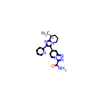 C[C@H]1CCCn2c1nc(-c1ccccn1)c2-c1ccn2c(C(N)=O)nnc2c1